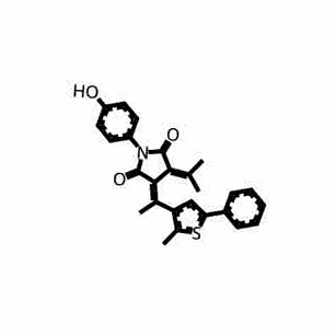 CC(C)=C1C(=O)N(c2ccc(O)cc2)C(=O)/C1=C(\C)c1cc(-c2ccccc2)sc1C